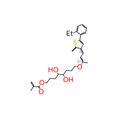 C=C(C)C(=O)OCCCC(O)C(O)CCCO/C(C)=C/C=c1/cc(-c2ccccc2CC)sc1=C